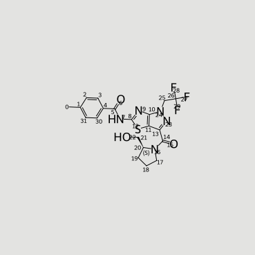 Cc1ccc(C(=O)Nc2nc3c(s2)c(C(=O)N2CCC[C@H]2CO)nn3CC(F)(F)F)cc1